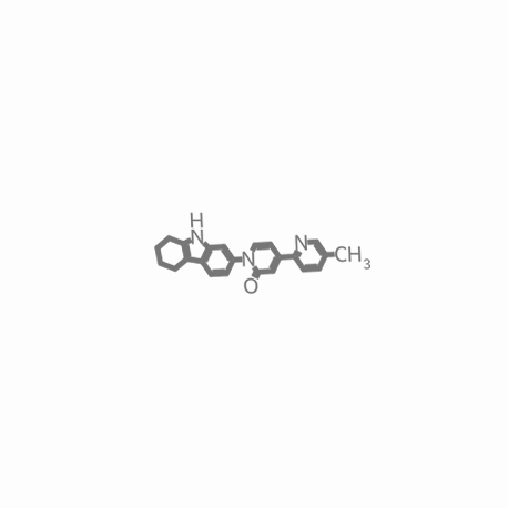 Cc1ccc(-c2ccn(-c3ccc4c5c([nH]c4c3)CCCC5)c(=O)c2)nc1